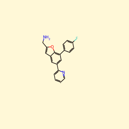 NCc1cc2cc(-c3cc[c]cn3)cc(-c3ccc(F)cc3)c2o1